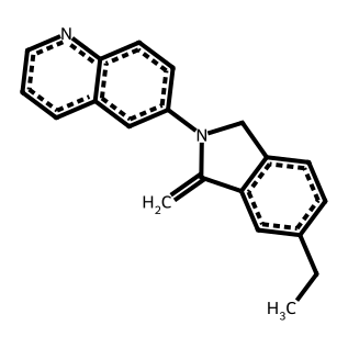 C=C1c2cc(CC)ccc2CN1c1ccc2ncccc2c1